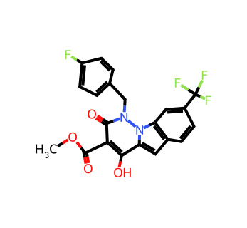 COC(=O)c1c(O)c2cc3ccc(C(F)(F)F)cc3n2n(Cc2ccc(F)cc2)c1=O